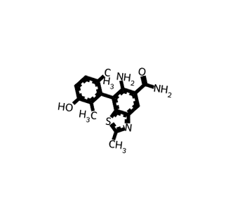 Cc1nc2cc(C(N)=O)c(N)c(-c3c(C)ccc(O)c3C)c2s1